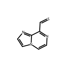 S=Cc1nccn2ccnc12